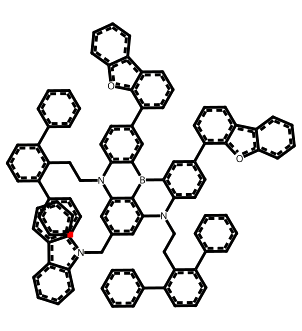 c1ccc(-c2cccc(-c3ccccc3)c2CCN2c3ccc(-c4cccc5c4oc4ccccc45)cc3B3c4cc(-c5cccc6c5oc5ccccc56)ccc4N(CCc4c(-c5ccccc5)cccc4-c4ccccc4)c4cc(Cn5c6ccccc6c6ccccc65)cc2c43)cc1